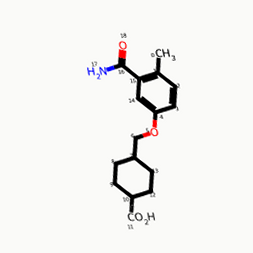 Cc1ccc(OCC2CCC(C(=O)O)CC2)cc1C(N)=O